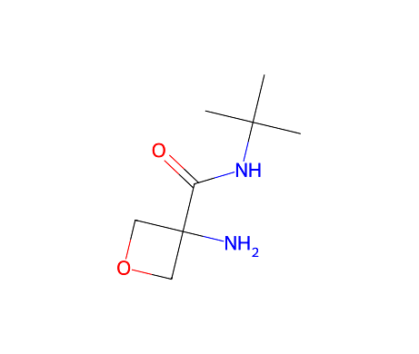 CC(C)(C)NC(=O)C1(N)COC1